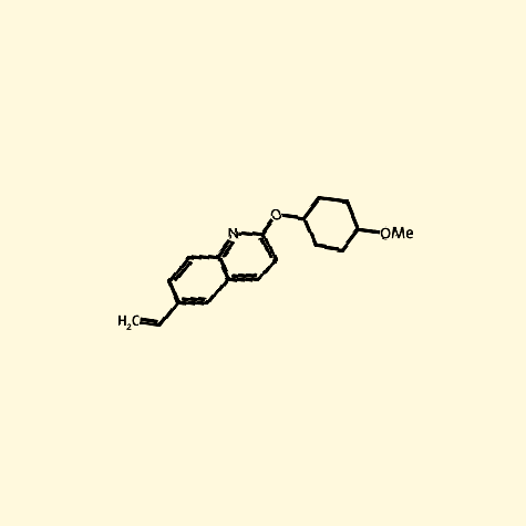 C=Cc1ccc2nc(OC3CCC(OC)CC3)ccc2c1